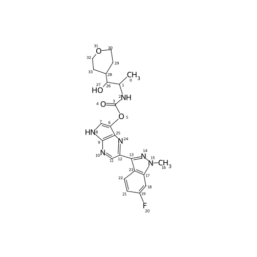 CC(NC(=O)Oc1c[nH]c2ncc(-c3nn(C)c4cc(F)ccc34)nc12)C(O)C1CCOCC1